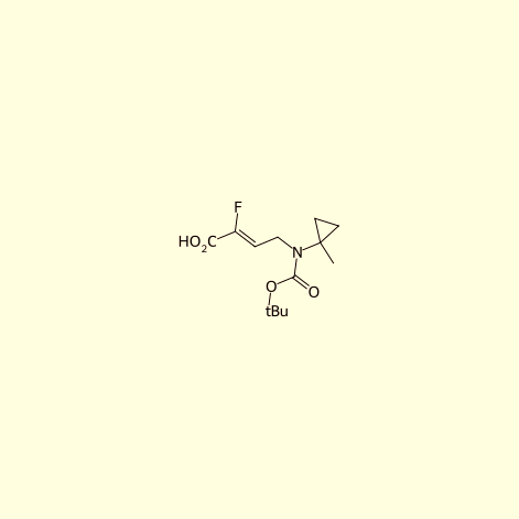 CC(C)(C)OC(=O)N(C/C=C(\F)C(=O)O)C1(C)CC1